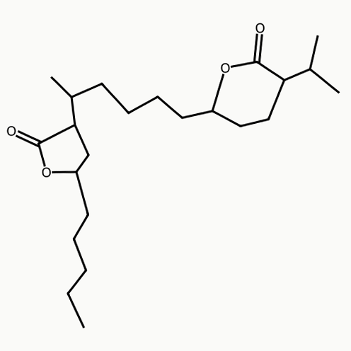 CCCCCC1CC(C(C)CCCCC2CCC(C(C)C)C(=O)O2)C(=O)O1